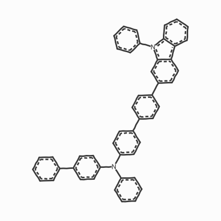 c1ccc(-c2ccc(N(c3ccccc3)c3ccc(-c4ccc(-c5ccc6c7ccccc7n(-c7ccccc7)c6c5)cc4)cc3)cc2)cc1